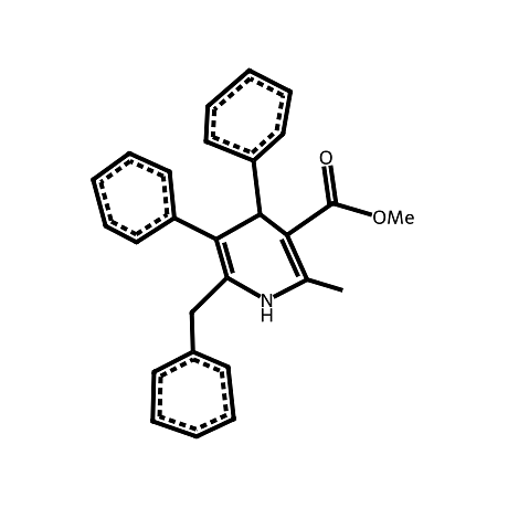 COC(=O)C1=C(C)NC(Cc2ccccc2)=C(c2ccccc2)C1c1ccccc1